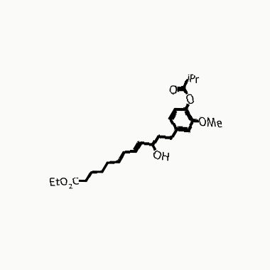 CCOC(=O)CCCCCC/C=C/C(O)CCc1ccc(OC(=O)C(C)C)c(OC)c1